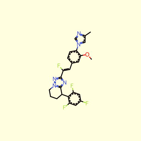 COc1cc(C=C(F)c2nc3n(n2)CCCC3c2c(F)cc(F)cc2F)ccc1-n1cnc(C)c1